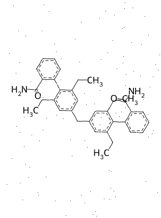 CCc1cc(Cc2cc(CC)c(-c3ccccc3C(N)=O)c(CC)c2)cc(CC)c1-c1ccccc1C(N)=O